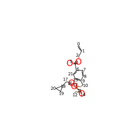 C=CCOC(=O)c1ccc(CS(C)(=O)=O)c(OCC2CC2)c1